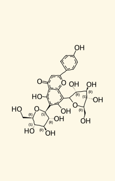 O=c1cc(-c2ccc(O)cc2)oc2c(C3O[C@H](CO)[C@@H](O)[C@H](O)[C@H]3O)c(O)c([C@@H]3O[C@H](CO)[C@@H](O)[C@H](O)[C@H]3O)c(O)c12